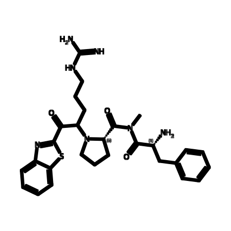 CN(C(=O)[C@H](N)Cc1ccccc1)C(=O)[C@@H]1CCCN1C(CCCNC(=N)N)C(=O)c1nc2ccccc2s1